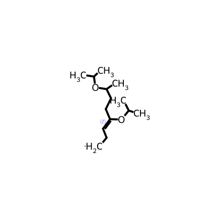 [CH2]C/C=C(/CCC(C)OC(C)C)OC(C)C